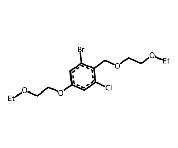 CCOCCOCc1c(Cl)cc(OCCOCC)cc1Br